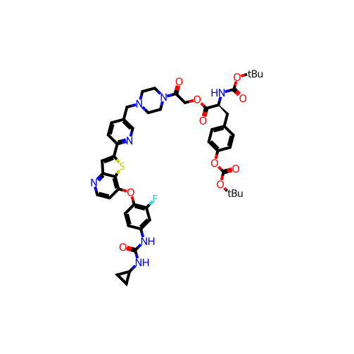 CC(C)(C)OC(=O)N[C@@H](Cc1ccc(OC(=O)OC(C)(C)C)cc1)C(=O)OCC(=O)N1CCN(Cc2ccc(-c3cc4nccc(Oc5ccc(NC(=O)NC6CC6)cc5F)c4s3)nc2)CC1